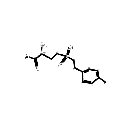 Cc1ccc(CCS(=N)(=O)CC[C@H](N)C(=O)O)cc1